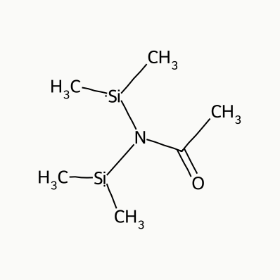 CC(=O)N([Si](C)C)[Si](C)C